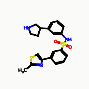 Cc1nc(-c2cccc(S(=O)(=O)Nc3cccc(C4CCNC4)c3)c2)cs1